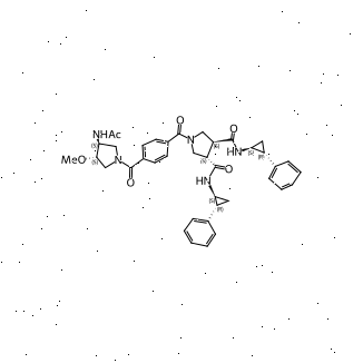 CO[C@H]1CN(C(=O)c2ccc(C(=O)N3C[C@@H](C(=O)N[C@H]4C[C@@H]4c4ccccc4)[C@H](C(=O)N[C@H]4C[C@@H]4c4ccccc4)C3)cc2)C[C@@H]1NC(C)=O